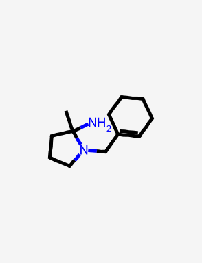 CC1(N)CCCN1CC1=CCCCC1